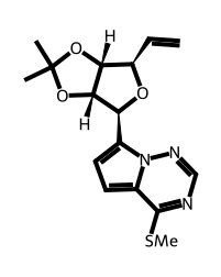 C=C[C@H]1O[C@@H](c2ccc3c(SC)ncnn23)[C@@H]2OC(C)(C)O[C@@H]21